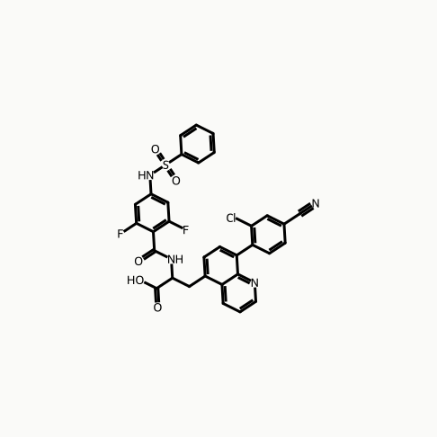 N#Cc1ccc(-c2ccc(CC(NC(=O)c3c(F)cc(NS(=O)(=O)c4ccccc4)cc3F)C(=O)O)c3cccnc23)c(Cl)c1